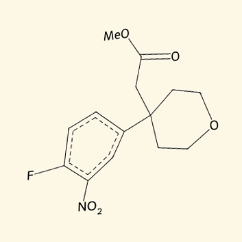 COC(=O)CC1(c2ccc(F)c([N+](=O)[O-])c2)CCOCC1